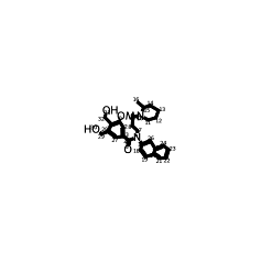 COc1cc(C(=O)N(CCCN2CCCCC2C)c2ccc3ccccc3c2)cc(CO)c1CO